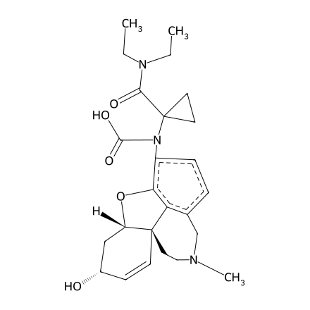 CCN(CC)C(=O)C1(N(C(=O)O)c2ccc3c4c2O[C@H]2C[C@@H](O)C=C[C@@]42CCN(C)C3)CC1